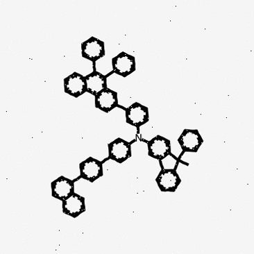 CC1(c2ccccc2)c2ccccc2-c2cc(N(c3ccc(-c4ccc(-c5cccc6ccccc56)cc4)cc3)c3cccc(-c4ccc5c(c4)c(-c4ccccc4)c(-c4ccccc4)c4ccccc45)c3)ccc21